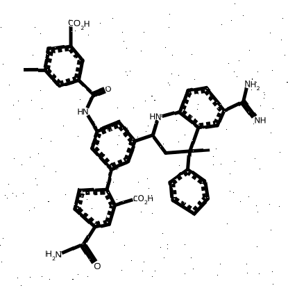 Cc1cc(C(=O)O)cc(C(=O)Nc2cc(-c3ccc(C(N)=O)cc3C(=O)O)cc(C3CC(C)(c4ccccc4)c4cc(C(=N)N)ccc4N3)c2)c1